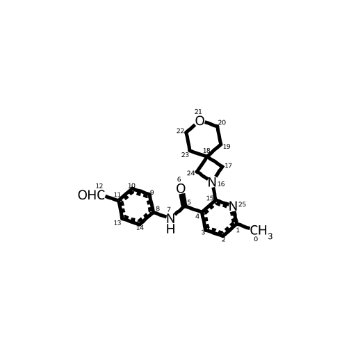 Cc1ccc(C(=O)Nc2ccc(C=O)cc2)c(N2CC3(CCOCC3)C2)n1